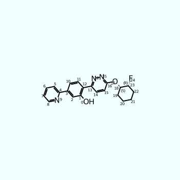 Oc1cc(-c2ccccn2)ccc1-c1ccc(O[C@H]2CCCC[C@H]2F)nn1